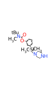 CN(C(=O)Oc1cccc([Si](C)(C)CN2CCNCC2)c1)C(C)(C)C